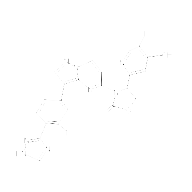 Cc1cc(C2COC(=O)N2c2ccn3ncc(-c4ccc(-c5nc[nH]n5)c(F)c4)c3n2)ncc1F